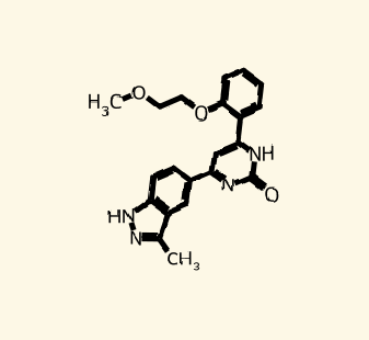 COCCOc1ccccc1-c1cc(-c2ccc3[nH]nc(C)c3c2)nc(=O)[nH]1